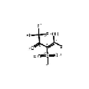 C/C(O)=C(/C(=O)C(F)(F)F)S(C)(=O)=O